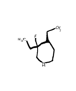 CCC1CCNCC1(F)CC